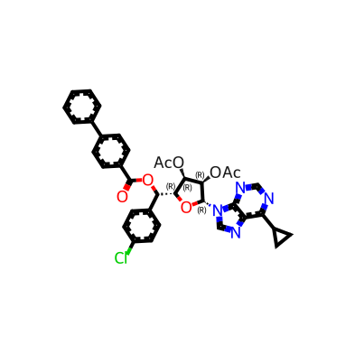 CC(=O)O[C@@H]1[C@H](OC(C)=O)[C@@H](C(OC(=O)c2ccc(-c3ccccc3)cc2)c2ccc(Cl)cc2)O[C@H]1n1cnc2c(C3CC3)ncnc21